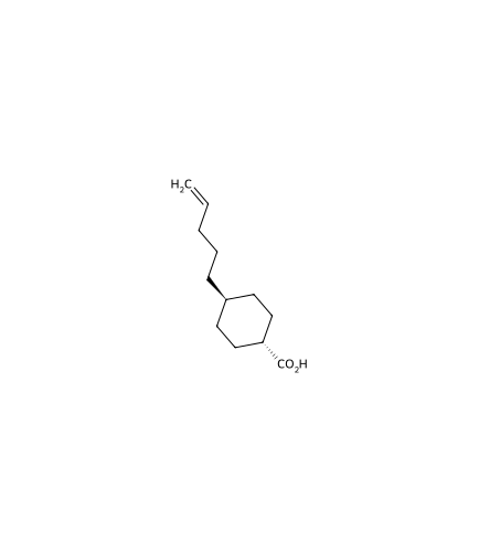 C=CCCC[C@H]1CC[C@H](C(=O)O)CC1